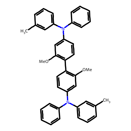 COc1cc(N(c2ccccc2)c2cccc(C)c2)ccc1-c1ccc(N(c2ccccc2)c2cccc(C)c2)cc1OC